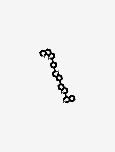 c1ccc2c(-c3ccc4cc(-c5ccc6nc(-c7ccc(-c8ccc9ccc%10cccnc%10c9n8)cc7)ccc6c5)ccc4n3)cncc2c1